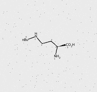 CCCCNCC[C@H](N)C(=O)O